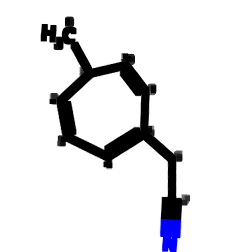 CC1C=CC=C(CC#N)C=C1